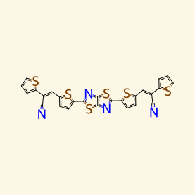 N#C/C(=C\c1ccc(-c2nc3sc(-c4ccc(/C=C(\C#N)c5cccs5)s4)nc3s2)s1)c1cccs1